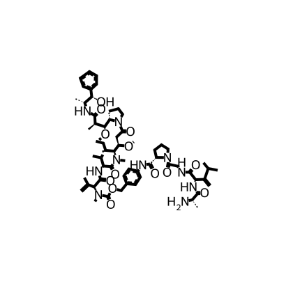 C=C(C(C)C)[C@H](NC(=O)[C@H](C)N)C(=O)NCC(=O)N1CCC[C@H]1C(=O)Nc1ccc(COC(=O)N(C)[C@@H](C(=C)C)C(=O)N[C@H](C(=O)N(C)[C@@H]([C@@H](C)CC)[C@@H](CC(=O)N2CCC[C@H]2[C@H](OC)[C@@H](C)C(=O)N[C@H](C)[C@@H](O)c2ccccc2)OC)C(C)C)cc1